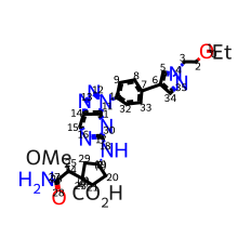 CCOCCn1cc(-c2ccc(-n3nnc4cnc(N[C@@H]5CC[C@@](C(=O)O)(C(OC)C(N)=O)C5)nc43)cc2)cn1